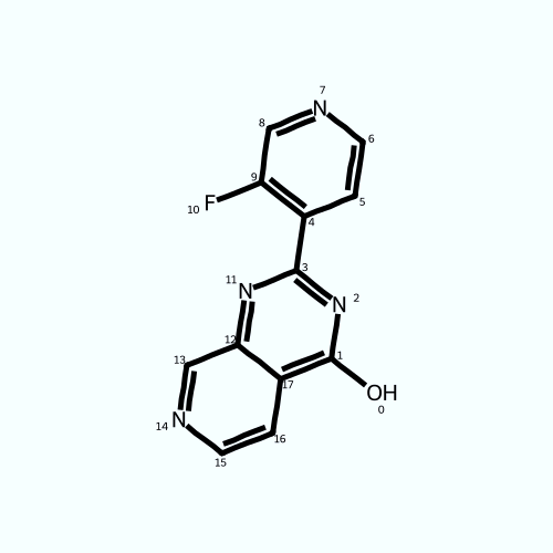 Oc1nc(-c2ccncc2F)nc2cnccc12